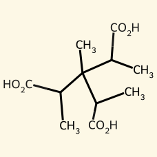 CC(C(=O)O)C(C)(C(C)C(=O)O)C(C)C(=O)O